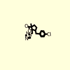 CC12CCC(Cc3ccc(Cl)cc3)C1(Cn1cncn1)OC2=O